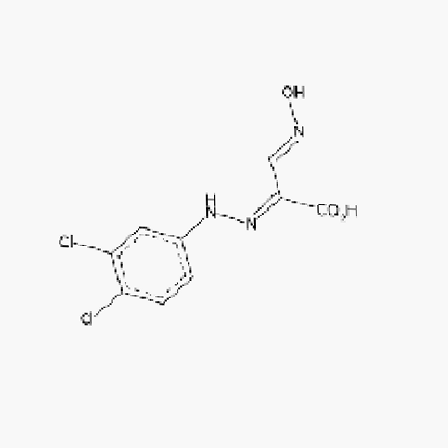 O=C(O)C(/C=N/O)=N/Nc1ccc(Cl)c(Cl)c1